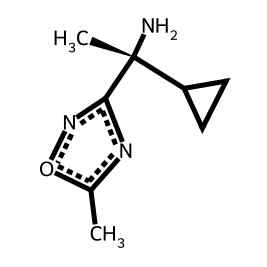 Cc1nc([C@](C)(N)C2CC2)no1